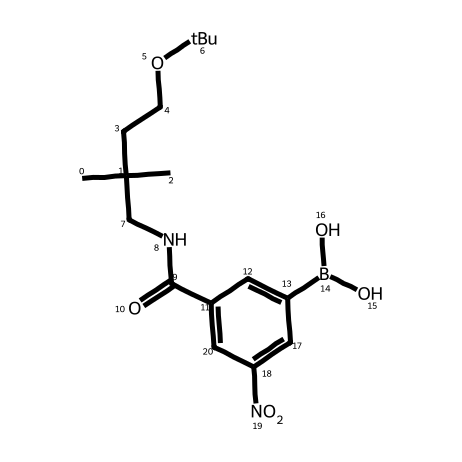 CC(C)(CCOC(C)(C)C)CNC(=O)c1cc(B(O)O)cc([N+](=O)[O-])c1